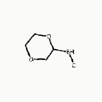 ClBC1COCCO1